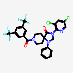 O=C(c1cc(C(F)(F)F)cc(C(F)(F)F)c1)N1CCC2(CC1)C(=O)N(c1ncc(Cl)cc1Cl)CN2c1ccccc1